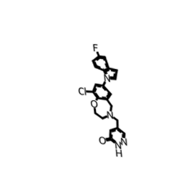 O=c1cc(CN2CCOc3c(Cl)cc(-n4ccc5cc(F)ccc54)cc3C2)cn[nH]1